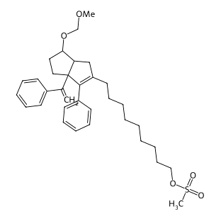 C=C(c1ccccc1)C12CCC(OCOC)C1CC(CCCCCCCCCOS(C)(=O)=O)=C2c1ccccc1